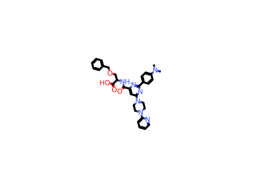 CN(C)c1ccc(-c2nc(C(=O)NC(COCc3ccccc3)C(=O)O)cc(N3CCN(c4ccccn4)CC3)n2)cc1